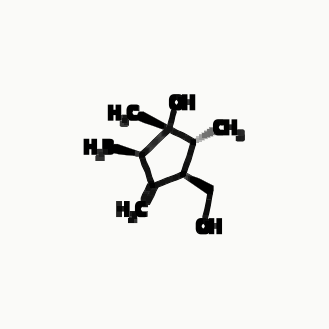 B[C@@H]1C(=C)[C@H](CO)[C@@H](C)[C@@]1(C)O